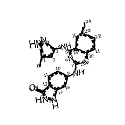 Cc1cc(Nc2nc(Nc3ccc4c(=O)[nH][nH]c4c3)nc3ccc(I)cc23)n[nH]1